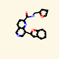 O=C(NCc1ccco1)c1ccc2cncc(-c3cc4ccccc4o3)c2n1